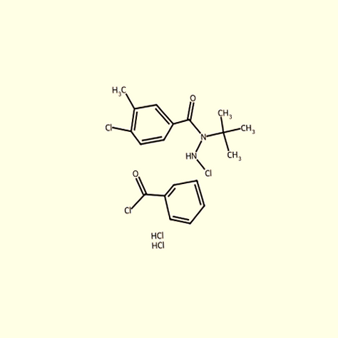 Cc1cc(C(=O)N(NCl)C(C)(C)C)ccc1Cl.Cl.Cl.O=C(Cl)c1ccccc1